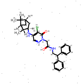 C[C@@H]1[C@H]2C[C@@H](C[C@H]1Nc1cnn(CC(=O)NCC(c3ccccc3)c3ccccc3)c(=O)c1Br)C2(C)C